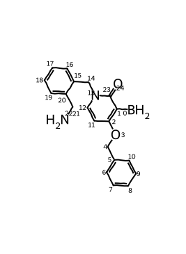 Bc1c(OCc2ccccc2)ccn(Cc2ccccc2CN)c1=O